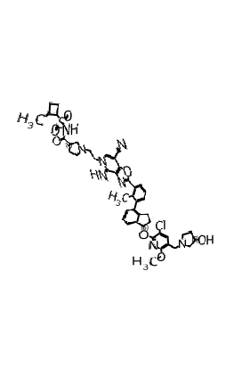 COc1nc(O[C@H]2CCc3c(-c4cccc(-c5nc6c(=N)n(CCN7CC[C@@H](C(=O)NS(=O)(=O)C8CCC8C)C7)cc(C#N)c6o5)c4C)cccc32)c(Cl)cc1CN1CC[C@@H](O)C1